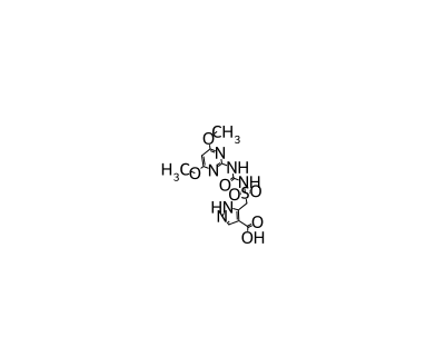 COc1cc(OC)nc(NC(=O)NS(=O)(=O)Cc2[nH]ncc2C(=O)O)n1